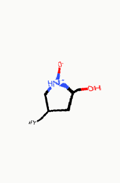 CC(C)C1CC(O)[NH+]([O-])C1